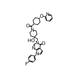 O=C(C1CCC(Oc2ccccn2)CC1)N1CCC(O)(Cn2cnc3c(ccn3-c3ccc(F)cc3)c2=O)CC1